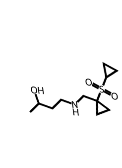 CC(O)CCNCC1(S(=O)(=O)C2CC2)CC1